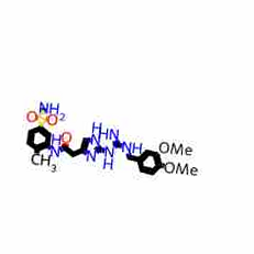 COc1ccc(CNC(=N)Nc2nc(CC(=O)Nc3cc(S(N)(=O)=O)ccc3C)c[nH]2)cc1OC